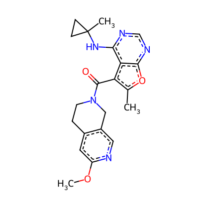 COc1cc2c(cn1)CN(C(=O)c1c(C)oc3ncnc(NC4(C)CC4)c13)CC2